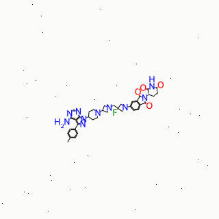 Cc1ccc(-c2nn(C3CCN(C4CN(CC5(F)CN(c6ccc7c(c6)C(=O)N(C6CCC(=O)NC6=O)C7=O)C5)C4)CC3)c3ncnc(N)c23)cc1